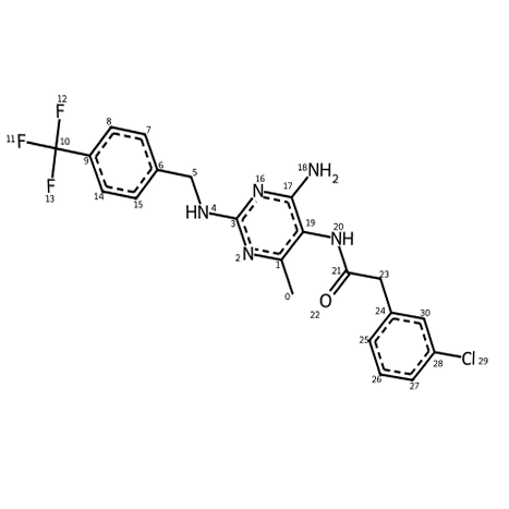 Cc1nc(NCc2ccc(C(F)(F)F)cc2)nc(N)c1NC(=O)Cc1cccc(Cl)c1